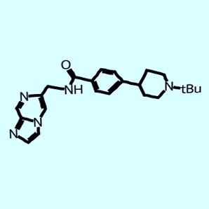 CC(C)(C)N1CCC(c2ccc(C(=O)NCc3cn4ccnc4cn3)cc2)CC1